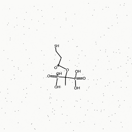 CC(OC(=O)CCS)(P(=O)(O)O)P(=O)(O)O